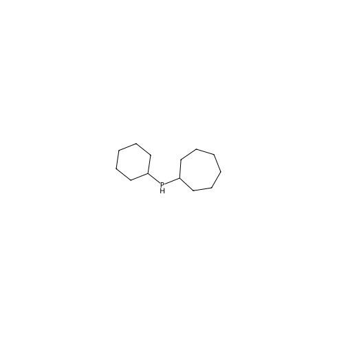 C1CCCC(PC2CCCCC2)CC1